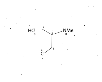 CNC(C)CCl.Cl